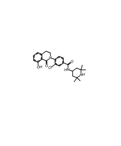 CC1(C)CC(NC(=O)c2ccc(N3CCc4cccc(O)c4C3=O)c(Cl)c2)CC(C)(C)N1